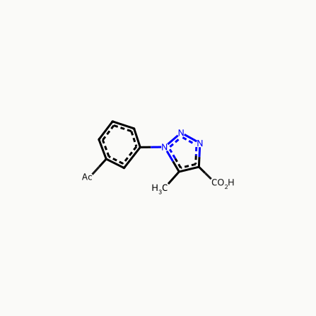 CC(=O)c1cccc(-n2nnc(C(=O)O)c2C)c1